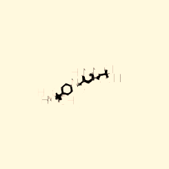 CC(C)c1nc2ncc(C(=O)NC3CCC(C(C)(C)O)CC3)cc2s1